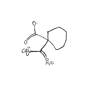 O.O=C([O-])C1(C(=O)[O-])CCCCC1.[Ca+2]